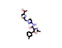 CC(=O)c1csc(Cn2ccc(NC(=O)c3nc(C)oc3-c3cccc(C)c3)n2)n1